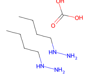 CCCCNN.CCCCNN.O=C(O)O